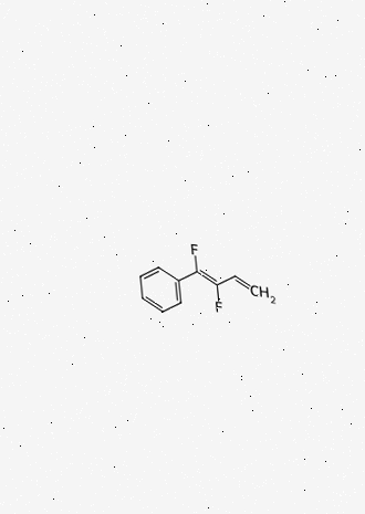 C=CC(F)=C(F)c1ccccc1